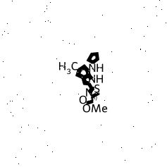 COC(=O)C[C@@H]1CSC(c2cc3cc(C)cc(NC4CCCC4)c3[nH]2)=N1